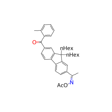 CCCCCCC1(CCCCCC)c2cc(C(=O)c3ccccc3C)ccc2-c2ccc(/C(C)=N\OC(C)=O)cc21